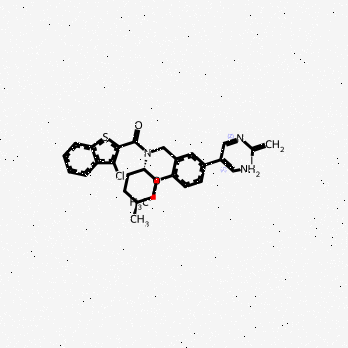 C=C(I)/N=C\C(=C/N)c1ccc(OCC)c(CN(C(=O)c2sc3ccccc3c2Cl)[C@H]2CC[C@H](C)CC2)c1